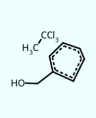 CC(Cl)(Cl)Cl.OCc1ccccc1